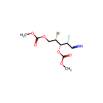 COC(=O)OC[C@H](Br)[C@@H](OC(=O)OC)[C@H](F)C=N